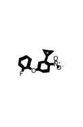 O=[N+]([O-])c1ccc(Oc2ccccc2F)cc1C1CC1